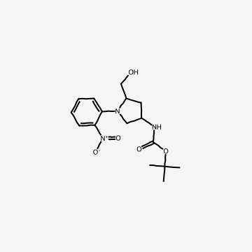 CC(C)(C)OC(=O)NC1CC(CO)N(c2ccccc2[N+](=O)[O-])C1